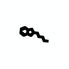 CCCCCC1CC2C=CC=CC2C1